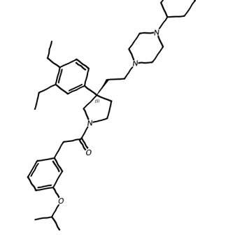 CCc1ccc([C@]2(CCN3CCN(C4CCCCC4)CC3)CCN(C(=O)Cc3cccc(OC(C)C)c3)C2)cc1CC